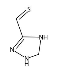 S=CC1=NNCN1